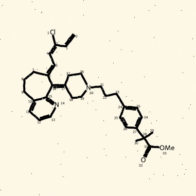 C=C/C(Cl)=C\C=C1/CCCc2cccnc2C1=C1CCN(CCCc2ccc(C(C)(C)C(=O)OC)cc2)CC1